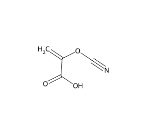 C=C(OC#N)C(=O)O